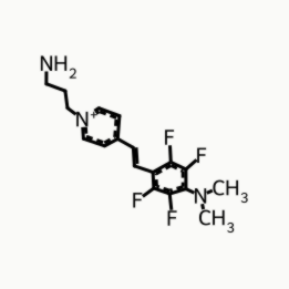 CN(C)c1c(F)c(F)c(C=Cc2cc[n+](CCCN)cc2)c(F)c1F